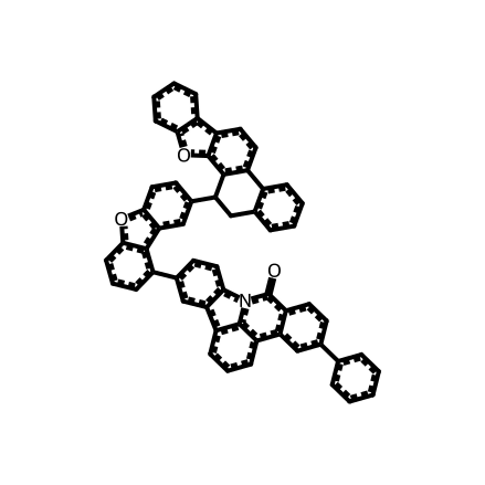 O=c1c2ccc(-c3ccccc3)cc2c2cccc3c4cc(-c5cccc6oc7ccc(C8Cc9ccccc9-c9ccc%10c(oc%11ccccc%11%10)c98)cc7c56)ccc4n1c23